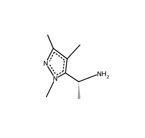 Cc1nn(C)c([C@@H](C)N)c1C